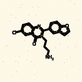 NCCCn1c(-c2ccc3occc3c2)nc2ccc(Cl)cc2c1=O